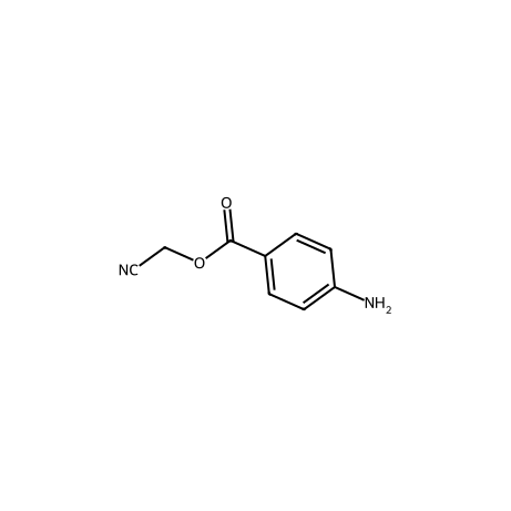 N#CCOC(=O)c1ccc(N)cc1